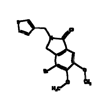 COc1cc2c(c(Br)c1OC)CN(Cc1ccsc1)C2=O